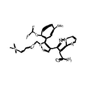 CSc1ccc(OC(F)F)c(-c2c(-c3nn4cccnc4c3C(N)=O)cnn2COCC[Si](C)(C)C)c1